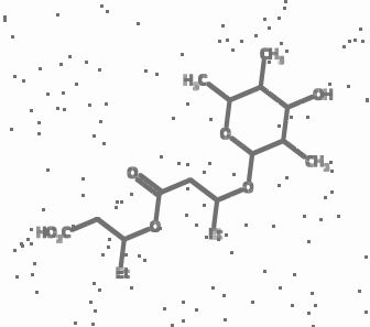 CCC(CC(=O)O)OC(=O)CC(CC)OC1OC(C)C(C)C(O)C1C